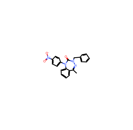 CC1=NN(Cc2ccccc2)C(=O)N(c2ccc([N+](=O)[O-])cc2)c2ccccc21